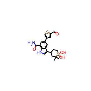 CC1(C)CC(c2c[nH]c3c(C(N)=O)cc(-c4csc(C=O)c4)cc23)CCS1(O)O